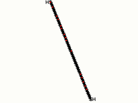 SSSSSSSSSSSSSSSSSSSSSSSSSSSSSSSSSSSSSSSSSSSSSSSSSSSSSSSSSSSSSSSSSSSSSSSSSSSSSSSSSSSSSSSSSSSSSSSSSSSSSSSSSSSSSSSSSSSSSS